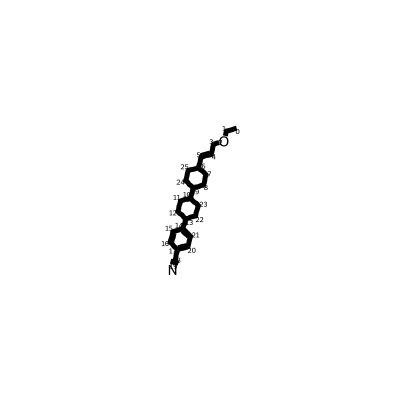 CCOCC=CC1CCC(C2CCC(c3ccc(C#N)cc3)CC2)CC1